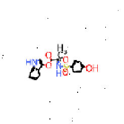 C[C@H](NS(=O)(=O)c1ccc(O)cc1)C(=O)Oc1c[nH]c2ccccc12